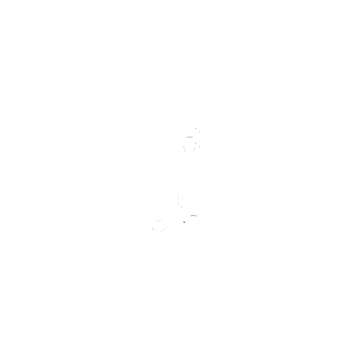 O=C(O)C(CCOCCCCc1ccc2c(n1)NCCC2)NC(=O)[C@H](O)c1ccccc1